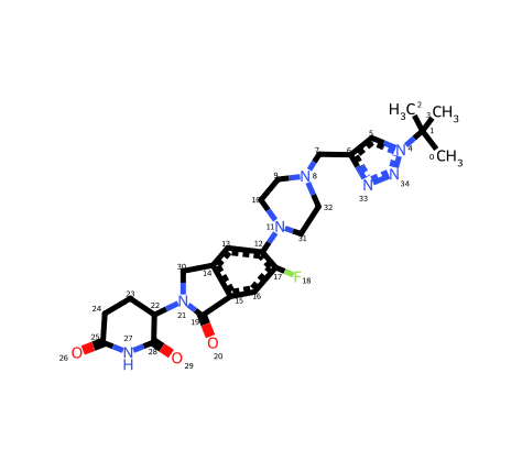 CC(C)(C)n1cc(CN2CCN(c3cc4c(cc3F)C(=O)N(C3CCC(=O)NC3=O)C4)CC2)nn1